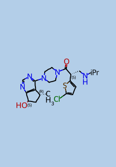 CC(C)NC[C@@H](C(=O)N1CCN(c2ncnc3c2[C@H](C)C[C@@H]3O)CC1)c1ccc(Cl)s1